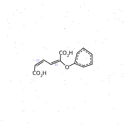 O=C(O)/C=C\C=C(\Oc1ccccc1)C(=O)O